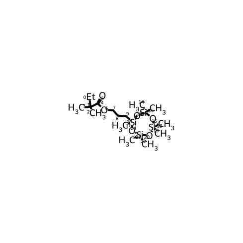 CCC(C)(C)C(=O)OCCC[Si]1(C)O[Si](C)(C)O[Si](C)(C)O[Si](C)(C)O1